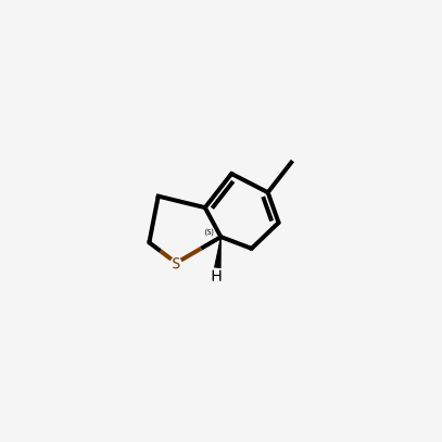 CC1=CC[C@@H]2SCCC2=C1